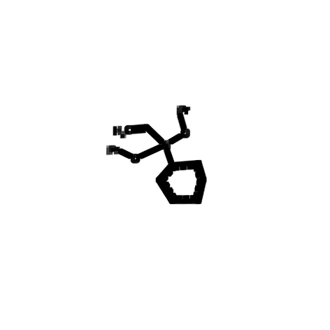 C=C[Si](OC(C)C)(OC(C)C)c1ccccc1